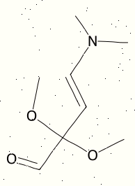 COC(C=O)(C=CN(C)C)OC